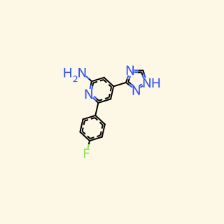 Nc1cc(-c2nc[nH]n2)cc(-c2ccc(F)cc2)n1